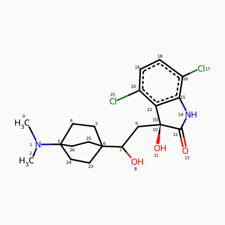 CN(C)C12CCC(C(O)C[C@@]3(O)C(=O)Nc4c(Cl)ccc(Cl)c43)(CC1)CC2